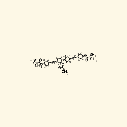 C=CC(=O)Oc1cc(C#Cc2ccc(OC(=O)C(=C)C)cc2)ccc1-c1ccc(C#Cc2ccc(OC(=O)C(=C)C)cc2)cc1